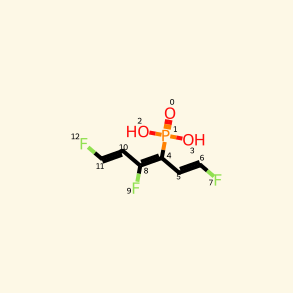 O=P(O)(O)C(C=CF)=C(F)C=CF